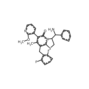 COc1ncccc1-c1c(C)c(Cc2c(F)cccc2F)c2n(c1=O)C(C(N)c1ccccc1)CS2